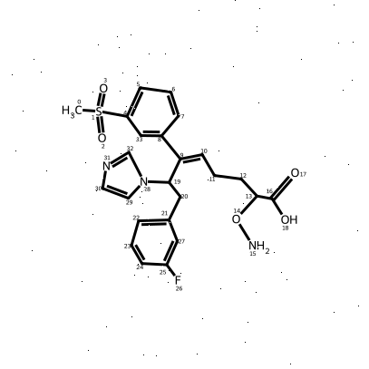 CS(=O)(=O)c1cccc(/C(=C/CCC(ON)C(=O)O)C(Cc2cccc(F)c2)n2ccnc2)c1